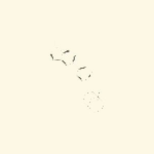 c1cc2cc(-c3ccc(O[C@H]4CCN5CCC[C@@H]4C5)nc3)ccc2[nH]1